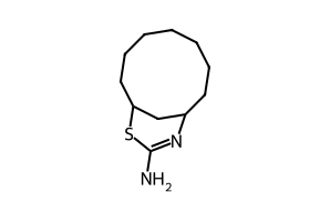 NC1=NC2CCCCCCCC(C2)S1